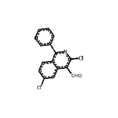 O=Cc1c(Cl)nc(-c2ccccc2)c2ccc(Cl)cc12